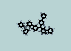 c1ccc(-c2ccc(C(c3ccc4sc5ccccc5c4c3)c3ccc4sc5c(N(c6ccccc6)c6ccccc6)cccc5c4c3)cc2)cc1